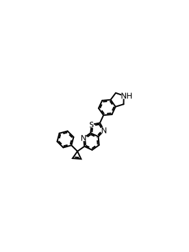 C1=CC1(c1ccccc1)c1ccc2nc(-c3ccc4c(c3)CNC4)sc2n1